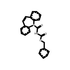 O=C(NC(=O)N1c2ccccc2C=Cc2ccccc21)OCc1ccccc1